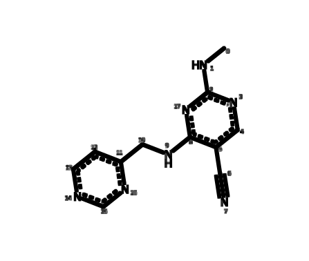 CNc1ncc(C#N)c(NCc2ccncn2)n1